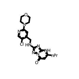 CCCc1cc(=O)n2nc(NCc3cc(N4CCOCC4)ncc3Cl)nc2[nH]1